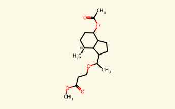 COC(=O)CCOC(C)C1CCC2C(OC(C)=O)CC[C@H](C)C12